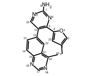 Cc1coc(-c2nc(N)ncc2-c2ccc3ncnc(C)c3c2)c1